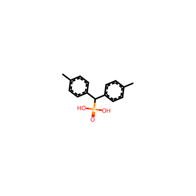 Cc1ccc(C(c2ccc(C)cc2)P(=O)(O)O)cc1